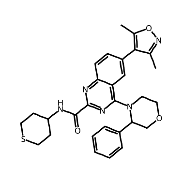 Cc1noc(C)c1-c1ccc2nc(C(=O)NC3CCSCC3)nc(N3CCOCC3c3ccccc3)c2c1